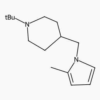 Cc1cccn1CC1CCN(C(C)(C)C)CC1